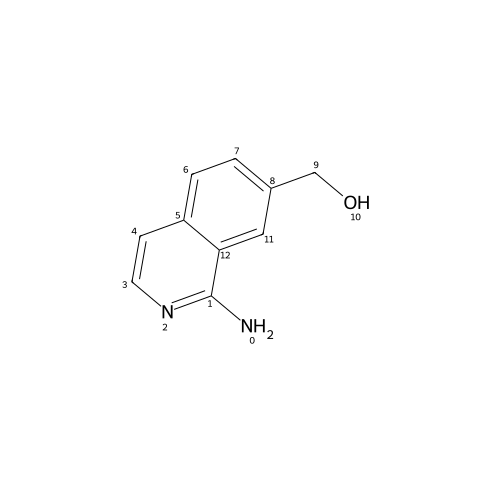 Nc1nccc2ccc(CO)cc12